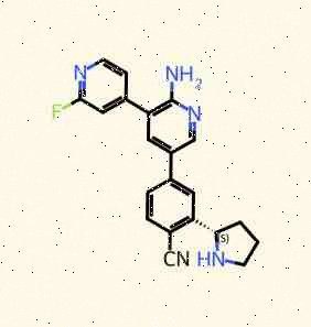 N#Cc1ccc(-c2cnc(N)c(-c3ccnc(F)c3)c2)cc1[C@@H]1CCCN1